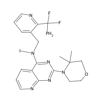 CC1(C)COCCN1c1nc(N(I)Cc2cccnc2C(F)(F)P)c2cccnc2n1